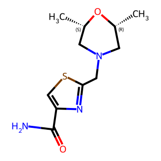 C[C@@H]1CN(Cc2nc(C(N)=O)cs2)C[C@H](C)O1